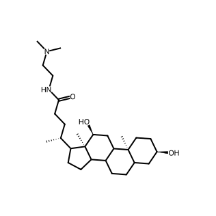 C[C@H](CCC(=O)NCCN(C)C)C1CCC2C3CCC4C[C@H](O)CC[C@]4(C)C3C[C@H](O)[C@@]21C